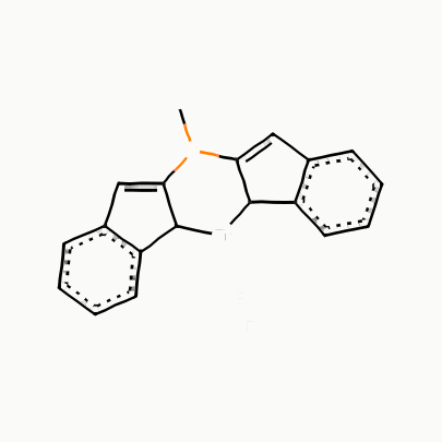 CP1C2=Cc3ccccc3[CH]2[Ti+2][CH]2C1=Cc1ccccc12.[F-].[F-]